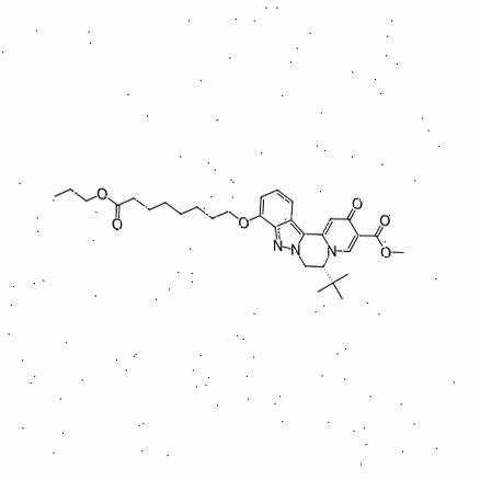 CCCOC(=O)CCCCCCCOc1cccc2c3n(nc12)C[C@@H](C(C)(C)C)n1cc(C(=O)OC)c(=O)cc1-3